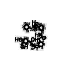 C[C@H](Cc1cccc(CC(=O)NCc2cccc(S(=O)(=O)NCc3ccccc3)c2)c1)NC[C@H](O)c1ccc(O)c(CO)c1